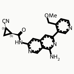 COCc1ccncc1-c1cc2cc(NC(=O)[C@H]3C[C@@H]3C#N)ncc2c(N)n1